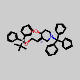 CC(C)(C)[Si](OC/C=C1/CN(C(c2ccccc2)(c2ccccc2)c2ccccc2)CCC1O)(c1ccccc1)c1ccccc1